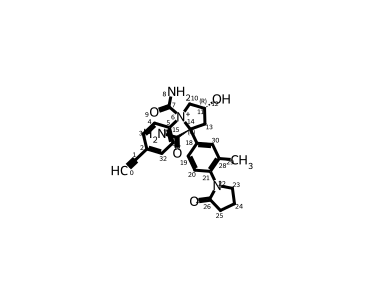 C#Cc1ccc([N+]2(C(N)=O)C[C@H](O)C[C@]2(C(N)=O)c2ccc(N3CCCC3=O)c(C)c2)cc1